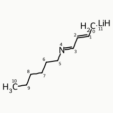 [CH2]C=CC=NCCCCCC.[LiH]